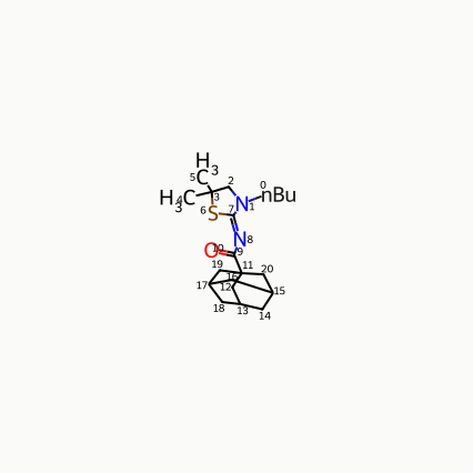 CCCCN1CC(C)(C)SC1=NC(=O)C12CC3CC(CC(C3)C1)C2